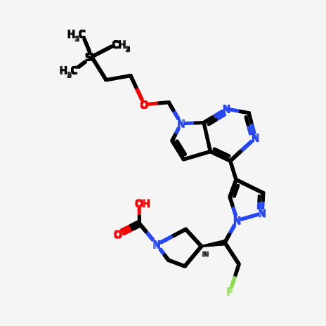 C[Si](C)(C)CCOCn1ccc2c(-c3cnn(C(CF)[C@H]4CCN(C(=O)O)C4)c3)ncnc21